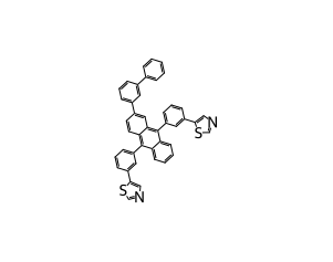 c1ccc(-c2cccc(-c3ccc4c(-c5cccc(-c6cncs6)c5)c5ccccc5c(-c5cccc(-c6cncs6)c5)c4c3)c2)cc1